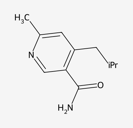 Cc1cc(CC(C)C)c(C(N)=O)cn1